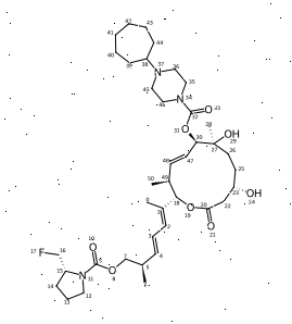 C/C(=C\C=C\[C@@H](C)COC(=O)N1CCC[C@@H]1CF)[C@H]1OC(=O)C[C@@H](O)CC[C@](C)(O)[C@H](OC(=O)N2CCN(C3CCCCCC3)CC2)/C=C/[C@@H]1C